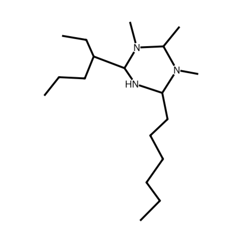 CCCCCCC1NC(C(CC)CCC)N(C)C(C)N1C